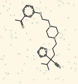 CC(=O)c1cccc(OCCN2CCN(CCCC(C#N)(c3cccs3)C(C)C)CC2)c1